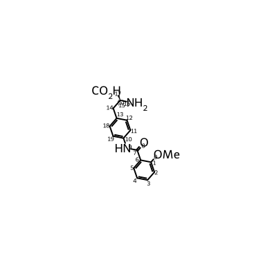 COc1ccccc1C(=O)Nc1ccc(C[C@H](N)C(=O)O)cc1